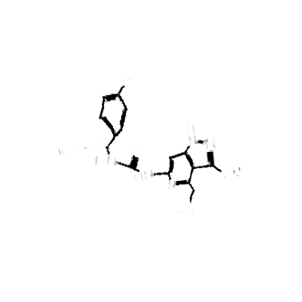 COc1n[nH]c2cc(NC(=O)N[C@H](C(=O)O)c3ccc(F)cc3)nc(CO)c12